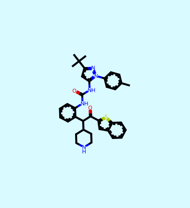 Cc1ccc(-n2nc(C(C)(C)C)cc2NC(=O)Nc2ccccc2C(C(=O)c2cc3ccccc3s2)C2CCNCC2)cc1